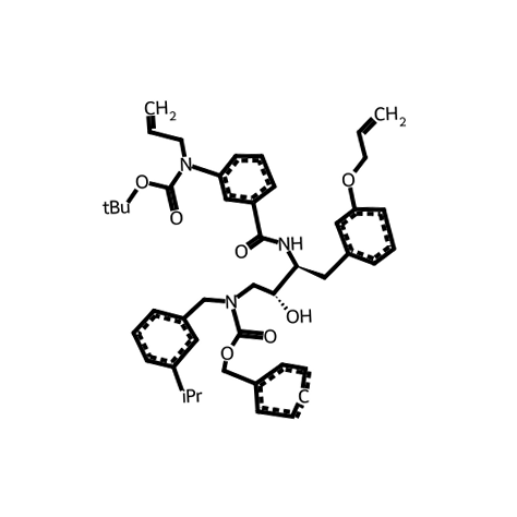 C=CCOc1cccc(C[C@H](NC(=O)c2cccc(N(CC=C)C(=O)OC(C)(C)C)c2)[C@H](O)CN(Cc2cccc(C(C)C)c2)C(=O)OCc2ccccc2)c1